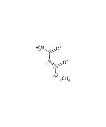 C.NC(=O)N=S(=O)=O